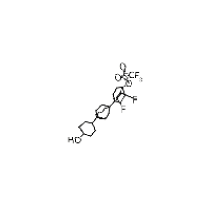 O=S(=O)(OC12CCC(C34CCC(C5CCC(O)CC5)(CC3)CC4)(CC1)C(F)=C2F)C(F)(F)F